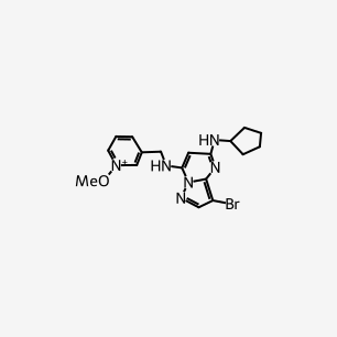 CO[n+]1cccc(CNc2cc(NC3CCCC3)nc3c(Br)cnn23)c1